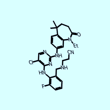 CCN1C(=O)CCC(C)(C)c2ccc(Nc3ncc(Cl)c(Nc4c(F)cccc4CNCCC#N)n3)cc21